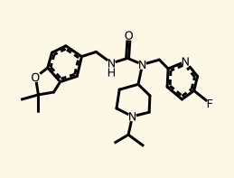 CC(C)N1CCC(N(Cc2ccc(F)cn2)C(=O)NCc2ccc3c(c2)CC(C)(C)O3)CC1